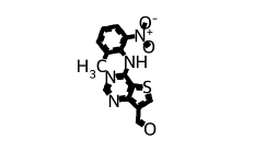 Cc1cccc([N+](=O)[O-])c1Nc1ncnc2c(C=O)csc12